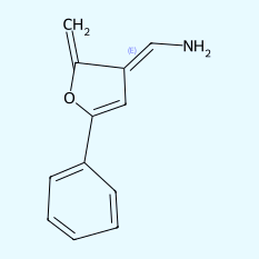 C=c1oc(-c2ccccc2)c/c1=C\N